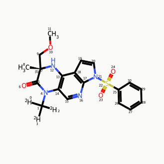 [2H]C([2H])([2H])N1C(=O)[C@](C)(COC)Nc2c1cnc1c2ccn1S(=O)(=O)c1ccccc1